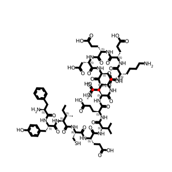 CC[C@H](C)[C@H](NC(=O)[C@H](Cc1ccc(O)cc1)NC(=O)[C@@H](N)Cc1ccccc1)C(=O)N[C@@H](CS)C(=O)N[C@@H](CCC(=O)O)C(=O)N[C@H](C(=O)N[C@@H](CCC(=O)O)C(=O)N[C@@H](CC(=O)O)C(=O)N[C@@H](CCC(N)=O)C(=O)N[C@@H](CCCCN)C(=O)N[C@@H](CCC(=O)O)C(=O)N[C@@H](CCC(=O)O)C(=O)N[C@@H](CC(=O)O)C(=O)N[C@@H](CC(=O)O)C(=O)O)C(C)C